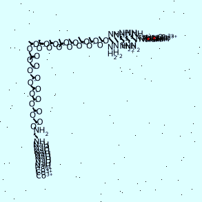 CC(=O)[O-].CC(=O)[O-].CC(=O)[O-].CC(=O)[O-].CC(=O)[O-].CC(=O)[O-].CC(=O)[O-].CC(=O)[O-].CC(=O)[O-].CC(=O)[O-].CC(=O)[O-].CC(=O)[O-].CC(=O)[O-].CC(=O)[O-].CC(=O)[O-].NCCN.NCCN.NCCN.NCCN.NCCN.NCCN.[Co+3].[Co+3].[Co+3].[Co+3].[Co+3].[NaH].[NaH].[NaH].[NaH].[NaH].[NaH].[NaH].[NaH].[NaH].[NaH].[NaH].[NaH].[NaH].[NaH].[NaH]